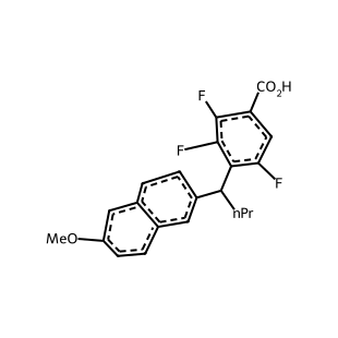 CCCC(c1ccc2cc(OC)ccc2c1)c1c(F)cc(C(=O)O)c(F)c1F